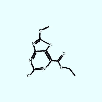 CCOC(=O)c1nc(Cl)nc2nc(SC)sc12